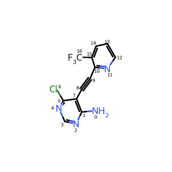 Nc1ncnc(Cl)c1C#Cc1ncccc1C(F)(F)F